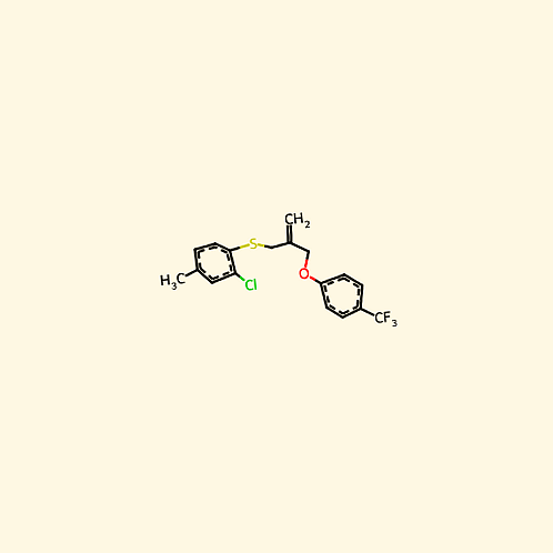 C=C(COc1ccc(C(F)(F)F)cc1)CSc1ccc(C)cc1Cl